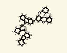 c1cc2c3c(c1)Oc1cc(-c4ccc5c(c4)c4ccccc4n5-c4nc(-c5cccc6c5sc5ccccc56)c5ccccc5n4)cc4c1N3c1c(cccc1O4)O2